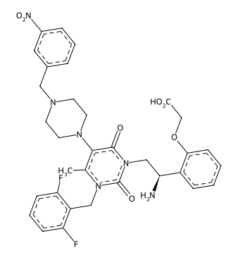 Cc1c(N2CCN(Cc3cccc([N+](=O)[O-])c3)CC2)c(=O)n(C[C@H](N)c2ccccc2OCC(=O)O)c(=O)n1Cc1c(F)cccc1F